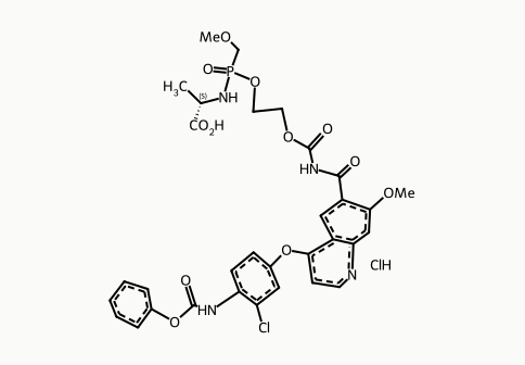 COCP(=O)(N[C@@H](C)C(=O)O)OCCOC(=O)NC(=O)c1cc2c(Oc3ccc(NC(=O)Oc4ccccc4)c(Cl)c3)ccnc2cc1OC.Cl